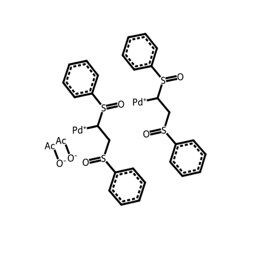 CC(=O)[O-].CC(=O)[O-].O=S(C[CH]([Pd+])S(=O)c1ccccc1)c1ccccc1.O=S(C[CH]([Pd+])S(=O)c1ccccc1)c1ccccc1